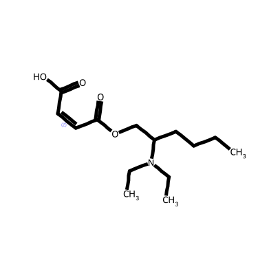 CCCCC(COC(=O)/C=C\C(=O)O)N(CC)CC